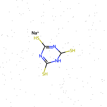 SC1=NC(S)NC(S)=N1.[Na+]